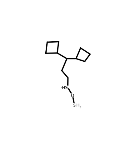 [SiH3]O[SiH]CCC(C1CCC1)C1CCC1